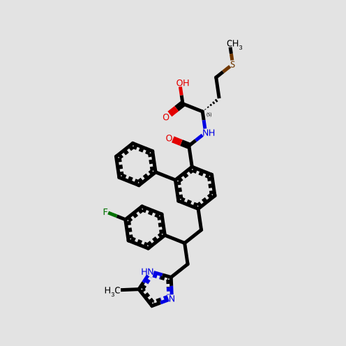 CSCC[C@H](NC(=O)c1ccc(CC(Cc2ncc(C)[nH]2)c2ccc(F)cc2)cc1-c1ccccc1)C(=O)O